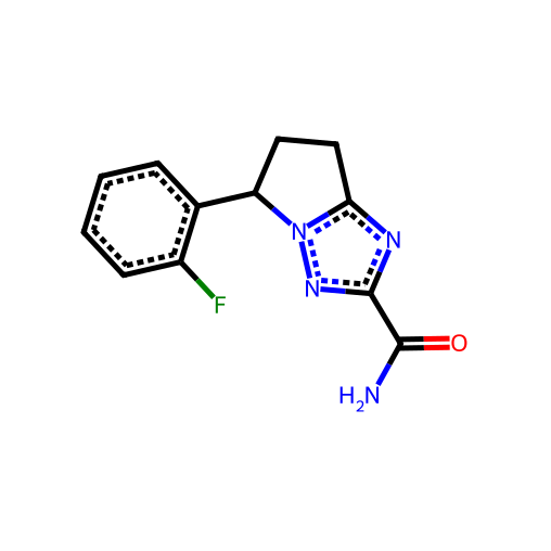 NC(=O)c1nc2n(n1)C(c1ccccc1F)CC2